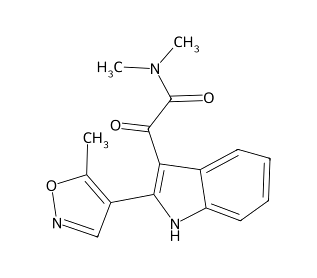 Cc1oncc1-c1[nH]c2ccccc2c1C(=O)C(=O)N(C)C